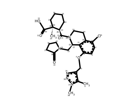 Cc1c(COc2ccc(Cl)c3c2[C@@H](CN2CCCC2=O)N(C(=O)[C@@H]2CCCC[C@]2(C)C(=O)O)CC3)nnn1C